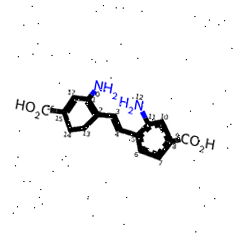 NC1=C(/C=C/c2ccc(C(=O)O)cc2N)CCC(C(=O)O)=C1